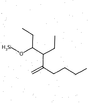 C=C(CCCC)C(CC)C(CC)O[SiH3]